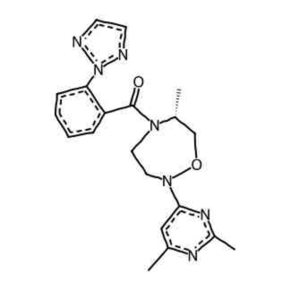 Cc1cc(N2CCN(C(=O)c3ccccc3-n3nccn3)[C@H](C)CO2)nc(C)n1